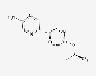 C[C@@H](Oc1ccc(-c2cnc(N)cn2)cn1)C(F)(F)F